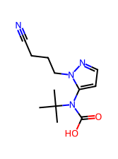 CC(C)(C)N(C(=O)O)c1ccnn1CCCC#N